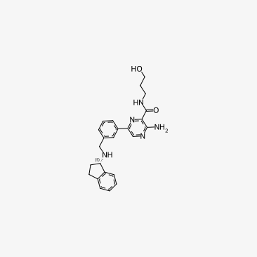 Nc1ncc(-c2cccc(CN[C@H]3CCc4ccccc43)c2)nc1C(=O)NCCCO